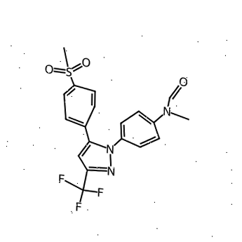 CN(C=O)c1ccc(-n2nc(C(F)(F)F)cc2-c2ccc(S(C)(=O)=O)cc2)cc1